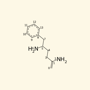 C=C(N)CCC(N)Cc1ccccc1